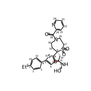 CCc1ccc(-c2ccc([C@@]3(CC(=O)NO)CCN(C(=O)c4ccccn4)CCS3(=O)=O)s2)cc1